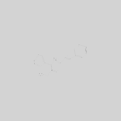 COC(=O)C(/N=C/C=C/c1ccccc1)c1ccccc1